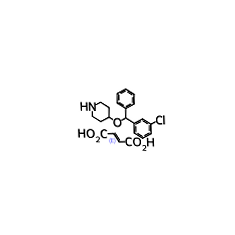 Clc1cccc(C(OC2CCNCC2)c2ccccc2)c1.O=C(O)/C=C/C(=O)O